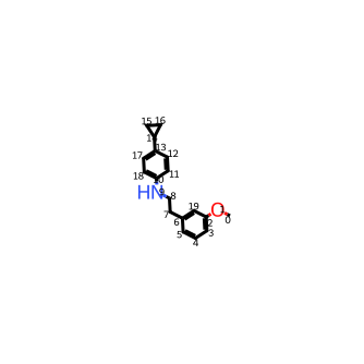 COc1cccc(CCNc2ccc(C3CC3)cc2)c1